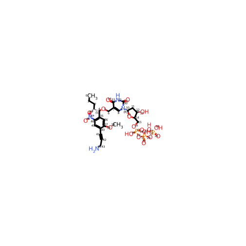 CCCC[C@H](OCc1cn([C@H]2C[C@@H](O)C(COP(=O)(O)OP(=O)(O)OP(=O)(O)O)O2)c(=O)[nH]c1=O)c1cc(OC)c(C#CCN)cc1[N+](=O)[O-]